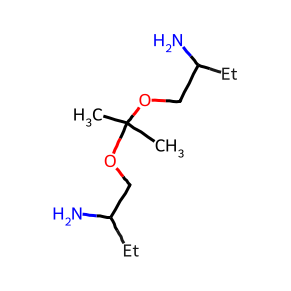 CCC(N)COC(C)(C)OCC(N)CC